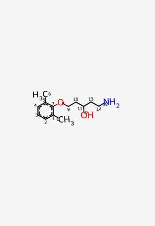 Cc1cccc(C)c1OCCC(O)CCN